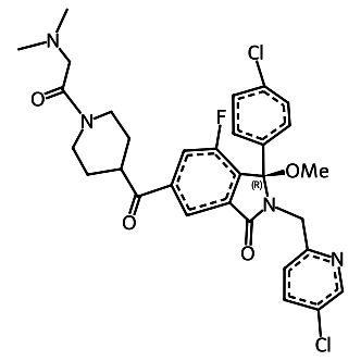 CO[C@]1(c2ccc(Cl)cc2)c2c(F)cc(C(=O)C3CCN(C(=O)CN(C)C)CC3)cc2C(=O)N1Cc1ccc(Cl)cn1